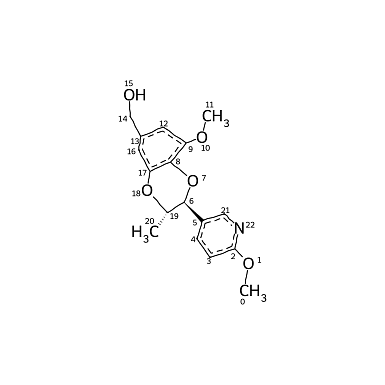 COc1ccc([C@@H]2Oc3c(OC)cc(CO)cc3O[C@H]2C)cn1